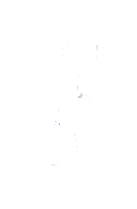 CCOC(OCC)[SiH2]CN1CCCCCC1